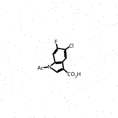 CC(=O)n1cc(C(=O)O)c2cc(Cl)c(F)cc21